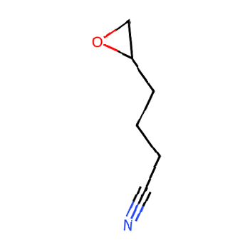 N#CCCCC1CO1